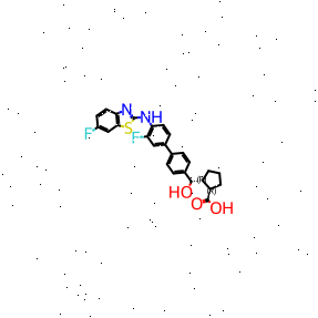 O=C(O)[C@@H]1CCC[C@H]1C(O)c1ccc(-c2ccc(Nc3nc4ccc(F)cc4s3)c(F)c2)cc1